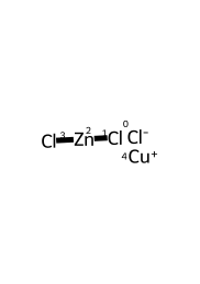 [Cl-].[Cl][Zn][Cl].[Cu+]